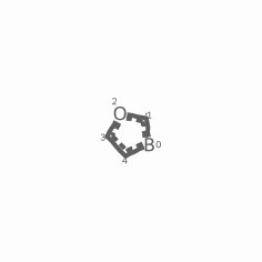 b1[c]occ1